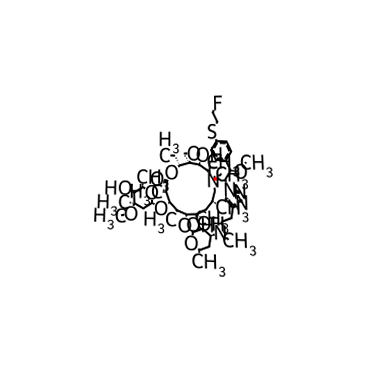 CC[C@H]1OC(=O)[C@H](C)[C@@H](O[C@H]2C[C@@](C)(OC)[C@@H](O)[C@H](C)O2)[C@H](C)[C@@H](O[C@@H]2O[C@H](C)C[C@H](N(C)CCc3cn([C@H](CF)[C@H](OC)c4ccc(SCCF)cc4)nn3)[C@H]2O)[C@](C)(O)C[C@@H](C)CN(C)[C@H](C)[C@@H](O)[C@@]12CO2